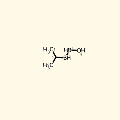 CC(C)BBO